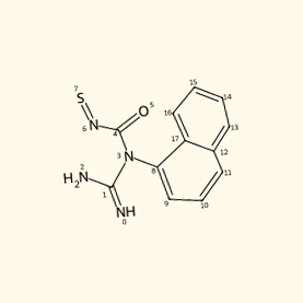 N=C(N)N(C(=O)N=S)c1cccc2ccccc12